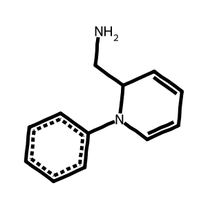 NCC1C=CC=CN1c1ccccc1